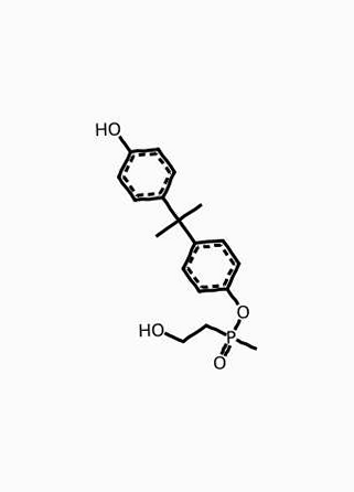 CC(C)(c1ccc(O)cc1)c1ccc(OP(C)(=O)CCO)cc1